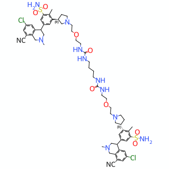 Cc1c([C@H]2CCN(CCOCCNC(=O)NCCCCNC(=O)NCCOCCN3CC[C@H](c4cc(C5CN(C)Cc6c(C#N)cc(Cl)cc65)cc(S(N)(=O)=O)c4C)C3)C2)cc(C2CN(C)Cc3c(C#N)cc(Cl)cc32)cc1S(N)(=O)=O